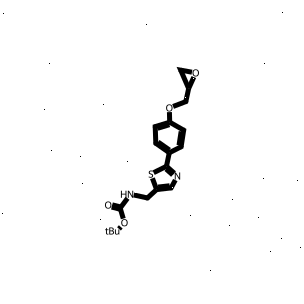 CC(C)(C)OC(=O)NCc1cnc(-c2ccc(OCC3CO3)cc2)s1